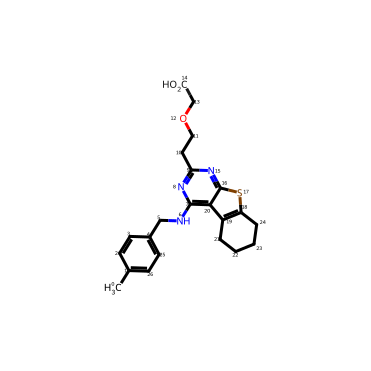 Cc1ccc(CNc2nc(CCOCC(=O)O)nc3sc4c(c23)CCCC4)cc1